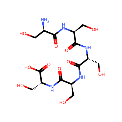 N[C@H](CO)C(=O)N[C@@H](CO)C(=O)N[C@H](CO)C(=O)N[C@@H](CO)C(=O)N[C@H](CO)C(=O)O